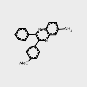 COc1ccc(-c2nc3cc(N)ccc3nc2-c2ccccc2)cc1